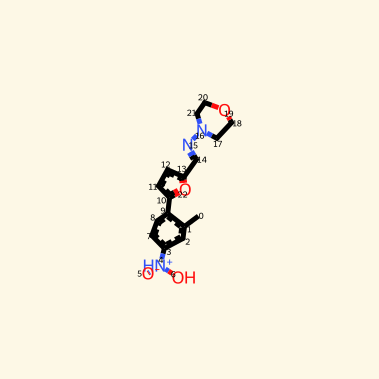 Cc1cc([NH+]([O-])O)ccc1-c1ccc(/C=N/N2CCOCC2)o1